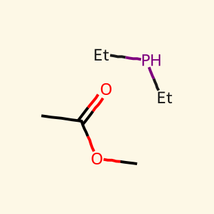 CCPCC.COC(C)=O